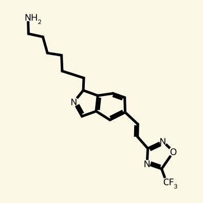 NCCCCCCC1N=Cc2cc(C=Cc3noc(C(F)(F)F)n3)ccc21